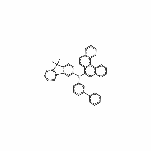 CC1(C)c2ccccc2-c2cc(N(c3cccc(-c4ccccc4)c3)c3cc4ccccc4c4c3ccc3ccccc34)ccc21